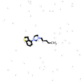 CCCCCN1CCN(c2cccc3sccc23)C1